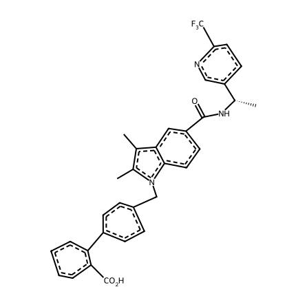 Cc1c(C)n(Cc2ccc(-c3ccccc3C(=O)O)cc2)c2ccc(C(=O)N[C@@H](C)c3ccc(C(F)(F)F)nc3)cc12